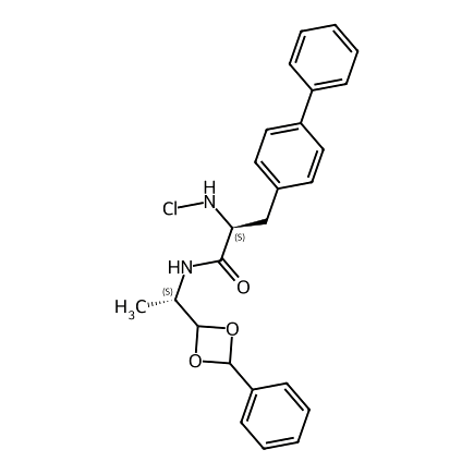 C[C@H](NC(=O)[C@H](Cc1ccc(-c2ccccc2)cc1)NCl)C1OC(c2ccccc2)O1